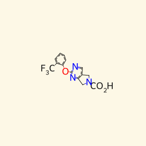 O=C(O)N1Cc2cnc(Oc3ccccc3C(F)(F)F)nc2C1